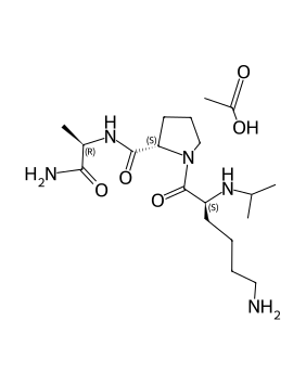 CC(=O)O.CC(C)N[C@@H](CCCCN)C(=O)N1CCC[C@H]1C(=O)N[C@H](C)C(N)=O